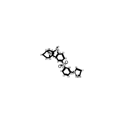 Cn1c2c(c3cc(S(=O)(=O)c4cccc(-n5cccn5)c4)ccc31)C1CCC(C2)N1